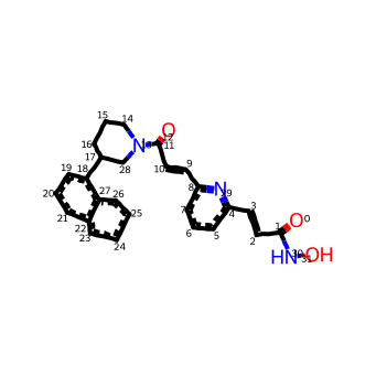 O=C(C=Cc1cccc(C=CC(=O)N2CCCC(c3cccc4ccccc34)C2)n1)NO